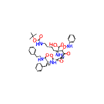 CC(C)(C)OC(=O)NCCCC[C@@](N)(C(=O)O)C(ONc1ccccc1)C(=O)[C@H]1O[C@@H]1C(=O)N[C@@H](Cc1ccccc1)C(=O)NCCc1ccccc1